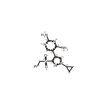 CC(C)CS(=O)(=O)c1nn(C2CC2)cc1-c1cnc(N)nc1N